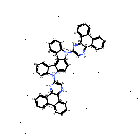 c1ccc2c(c1)c1ccccc1c1nc(-n3c4ccccc4c4c5c6ccccc6n(-c6cnc7c8ccccc8c8ccccc8c7n6)c5ccc43)cnc21